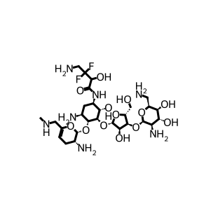 CNCC1=CC[C@@H](N)[C@@H](O[C@H]2[C@H](O[C@@H]3O[C@H](CO)[C@@H](O[C@H]4O[C@@H](CN)[C@@H](O)[C@H](O)[C@H]4N)[C@H]3O)[C@@H](O)[C@H](NC(=O)C(O)C(F)(F)CN)C[C@@H]2N)O1